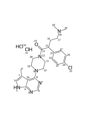 Cc1c[nH]c2ncnc(N3CCN(C(=O)C(CCN(C)C)c4ccc(Cl)cc4)CC3)c12.Cl.Cl